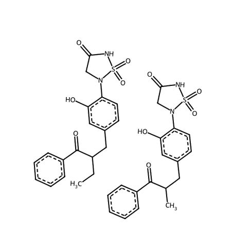 CC(Cc1ccc(N2CC(=O)NS2(=O)=O)c(O)c1)C(=O)c1ccccc1.CCC(Cc1ccc(N2CC(=O)NS2(=O)=O)c(O)c1)C(=O)c1ccccc1